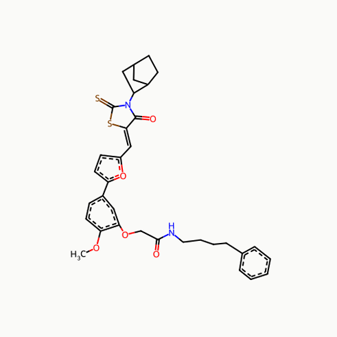 COc1ccc(-c2ccc(/C=C3\SC(=S)N(C4CC5CCC4C5)C3=O)o2)cc1OCC(=O)NCCCCc1ccccc1